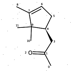 CC(=O)C[C@@H]1CC=C(C)C1(C)C